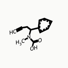 C#CCC(c1ccccc1)N(C)C(=O)O